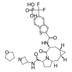 O=C(N[C@H]1C[C@@H]2C[C@@H]2C[C@H]2CC[C@@H](C(=O)NC3CN([C@@H]4CCOC4)C3)N2C1=O)c1cc2cc(C(F)(F)P(=O)(O)O)ccc2s1